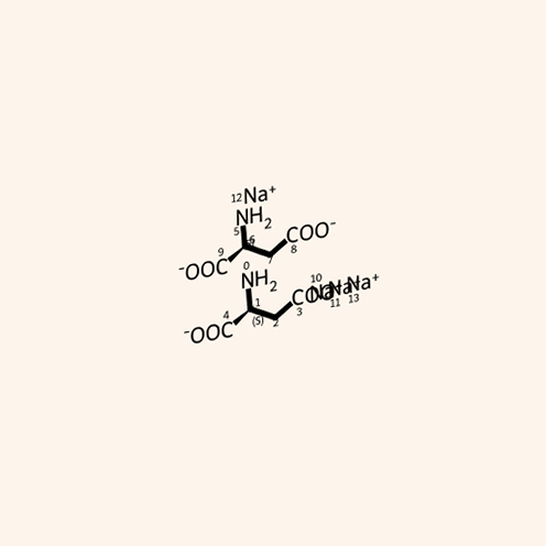 N[C@@H](CC(=O)[O-])C(=O)[O-].N[C@@H](CC(=O)[O-])C(=O)[O-].[Na+].[Na+].[Na+].[Na+]